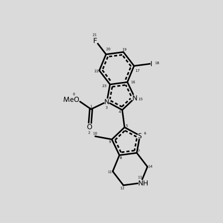 COC(=O)n1c(-c2sc3c(c2C)CCNC3)nc2c(I)cc(F)cc21